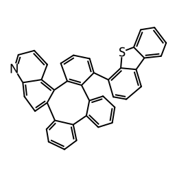 c1ccc2c(c1)-c1ccccc1-c1c(cccc1-c1cccc3c1sc1ccccc13)-c1c-2ccc2ncccc12